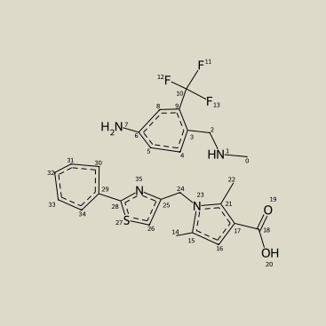 CNCc1ccc(N)cc1C(F)(F)F.Cc1cc(C(=O)O)c(C)n1Cc1csc(-c2ccccc2)n1